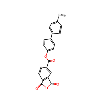 COc1ccc(-c2ccc(OC(=O)c3ccc4c(c3)C(=O)OC4=O)cc2)cc1